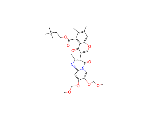 COCOc1cc2nc(C)c(-c3coc4cc(C)c(C)c(C(=O)OCC[Si](C)(C)C)c4c3=O)c(=O)n2cc1OCOC